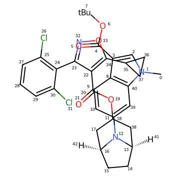 Cn1cc(C(=O)OC(C)(C)C)c2ccc(N3[C@@H]4CC[C@H]3CC(OC(=O)c3c(-c5c(Cl)cccc5Cl)noc3C3CC3)C4)cc21